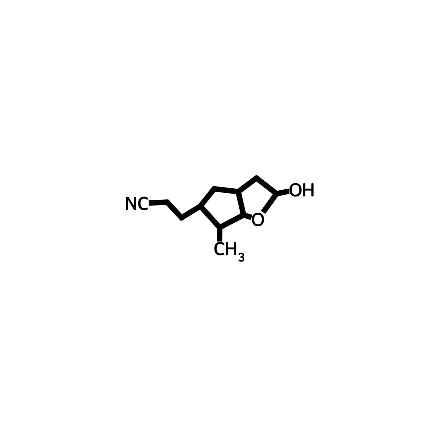 CC1C(CCC#N)CC2CC(O)OC21